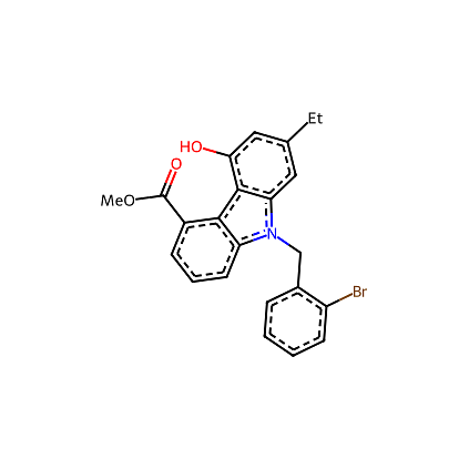 CCc1cc(O)c2c3c(C(=O)OC)cccc3n(Cc3ccccc3Br)c2c1